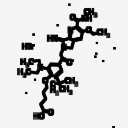 Br.CCOc1cc2c(nc1C(=O)NC)C(=N)N(CC(=O)c1cc(N(CC)CC)c(OCCCCC(=O)O)c(C(C)(C)C)c1)C2